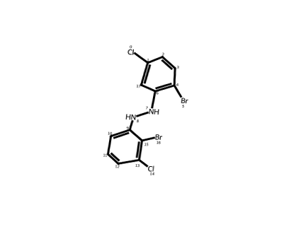 Clc1ccc(Br)c(NNc2cccc(Cl)c2Br)c1